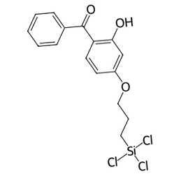 O=C(c1ccccc1)c1ccc(OCCC[Si](Cl)(Cl)Cl)cc1O